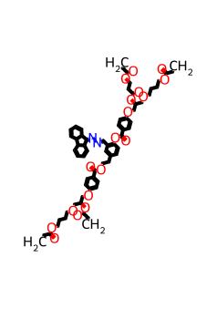 C=CC(=O)OCCCCOCC(COc1ccc(C(=O)OCCc2ccc(OC(=O)c3ccc(OCC(COCCCCOC(=O)C=C)OC(=O)CCOC(=O)C=C)cc3)c(/C=N/N=C3C4C=CC=CC4C4C=CC=CC34)c2)cc1)OC(=O)C=C